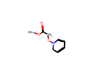 CC(C)(C)OC(=O)[SiH2]ON1C=CC=CC1